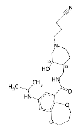 CC(C)Nc1cc2c(c(C(=O)NC[C@@H]3CCN(CCCC#N)C[C@H]3O)c1)OCCCO2